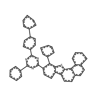 c1ccc(-c2ccc(-c3nc(-c4ccccc4)nc(-c4ccc5c(sc6c5ccc5ccc7ccccc7c56)c4-c4ccccc4)n3)cc2)cc1